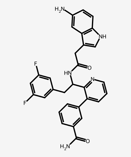 NC(=O)c1cccc(-c2cccnc2C(Cc2cc(F)cc(F)c2)NC(=O)Cc2c[nH]c3ccc(N)cc23)c1